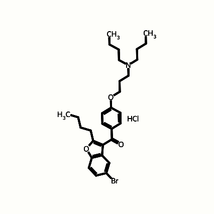 CCCCc1oc2ccc(Br)cc2c1C(=O)c1ccc(OCCCN(CCCC)CCCC)cc1.Cl